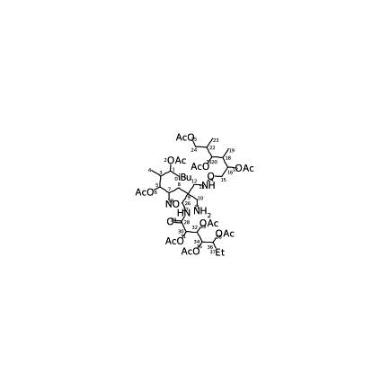 CCC(C)C(OC(C)=O)C(C)C(OC(C)=O)C(CC(CN)(CNOCC(OC(C)=O)C(C)C(OC(C)=O)C(C)COC(C)=O)CNC(=O)C(OC(C)=O)C(OC(C)=O)C(OC(C)=O)C(CC)OC(C)=O)N=O